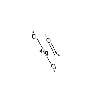 C=O.[Cl][Hg][Cl]